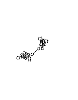 CCc1sc(Cl)nc1C(=O)N1CCCC1C(=O)Nc1ccc(C#Cc2ccc(NC(=O)C3CCCN3C(=O)c3nc(Cl)sc3CC)cc2)cc1